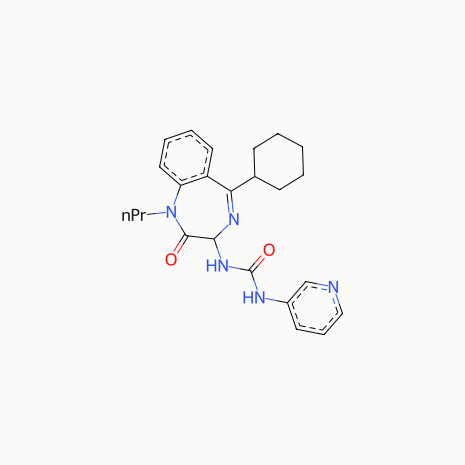 CCCN1C(=O)C(NC(=O)Nc2cccnc2)N=C(C2CCCCC2)c2ccccc21